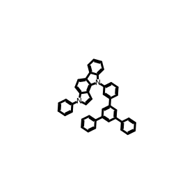 c1ccc(-c2cc(-c3ccccc3)cc(-c3cccc(-n4c5ccccc5c5ccc6c(ccn6-c6ccccc6)c54)c3)c2)cc1